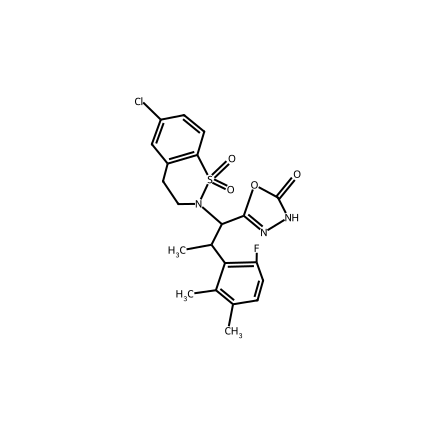 Cc1ccc(F)c(C(C)C(c2n[nH]c(=O)o2)N2CCc3cc(Cl)ccc3S2(=O)=O)c1C